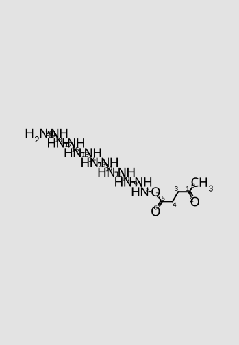 CC(=O)CCC(=O)ONNNNNNNNNNNNN